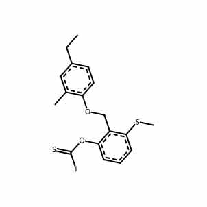 CCc1ccc(OCc2c(OC(=S)I)cccc2SC)c(C)c1